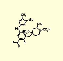 Cc1cc(Nc2cc(C(F)F)c(F)c(CC3(C(=O)O)CCN(C(=O)O)C(C)C3)n2)nn1C(C)(C)C